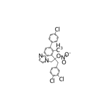 Cc1c(-c2ccc(Cl)cc2)cccc1C(Cc1ccc(Cl)c(Cl)c1)(Cn1ccnc1)O[N+](=O)[O-]